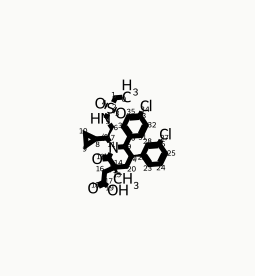 CCS(=O)(=O)NC[C@H](C1CC1)N1C(=O)[C@@](C)(CC(=O)O)C[C@H](c2cccc(Cl)c2)C1c1ccc(Cl)cc1